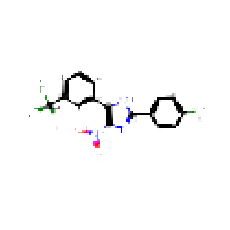 O=[N+]([O-])c1nc(-c2ccc(Cl)cc2)[nH]c1-c1cccc(C(F)(F)F)c1